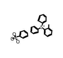 Cc1ccccc1[S+](c1ccccc1)c1ccccc1.O=S(=O)([O-])c1ccccc1